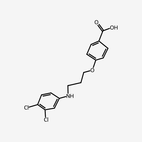 O=C(O)c1ccc(OCCCNc2ccc(Cl)c(Cl)c2)cc1